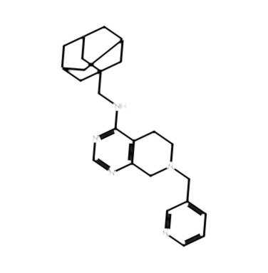 c1cncc(CN2CCc3c(ncnc3NCC34CC5CC(CC(C5)C3)C4)C2)c1